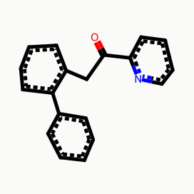 O=C(Cc1ccccc1-c1ccccc1)c1ccccn1